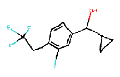 OC(c1ccc(CC(F)(F)F)c(F)c1)C1CC1